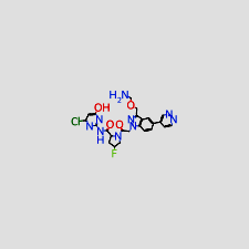 NCOCc1nn(CC(=O)N2CC(F)CC2C(=O)Nc2nc(O)cc(Cl)n2)c2ccc(-c3ccnnc3)cc12